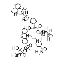 Br.CC(C)(O)C(Cl)(Cl)Cl.CN1[C@H]2C[C@H](OC(=O)[C@H](CO)c3ccccc3)C[C@H]1[C@H]1O[C@H]12.CS(=O)(=O)c1ccc2c(c1)N(CCCN1CCC(C(N)=O)CC1)c1ccccc1S2.O=C1c2cccc3c2[C@@H](CCC3)CN1[C@@H]1CN2CCC1CC2